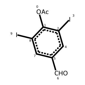 CC(=O)Oc1c(I)cc(C=O)cc1I